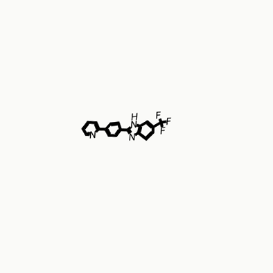 FC(F)(F)c1ccc2nc(-c3ccc(-c4ccccn4)cc3)[nH]c2c1